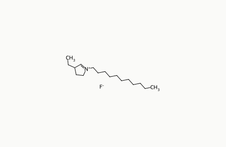 CCCCCCCCCCC[N+]1=CC(CC)CC1.[F-]